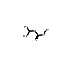 CC(C)NC(=O)OC(C)C(C)C